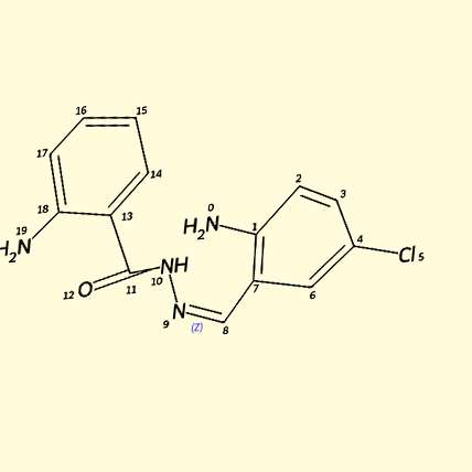 Nc1ccc(Cl)cc1/C=N\NC(=O)c1ccccc1N